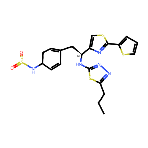 CCCc1nnc(N[C@@H](CC2=CCC(N[SH](=O)=O)C=C2)c2csc(-c3cccs3)n2)s1